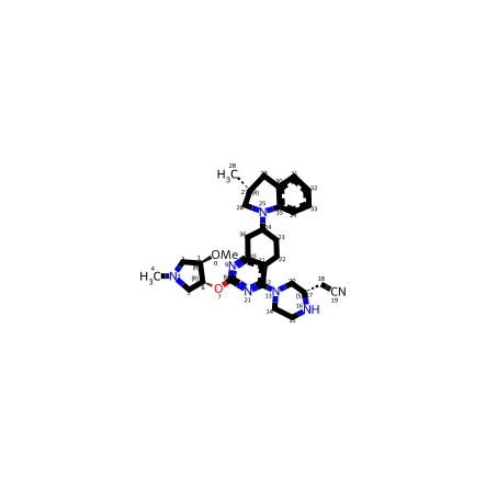 CO[C@@H]1CN(C)C[C@H]1Oc1nc2c(c(N3CCN[C@@H](CC#N)C3)n1)CCC(N1C[C@H](C)Cc3ccccc31)C2